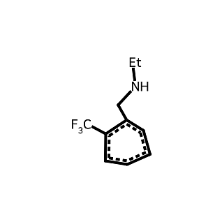 CCNCc1ccccc1C(F)(F)F